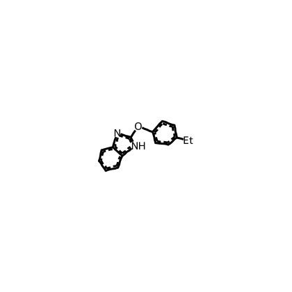 CCc1ccc(Oc2nc3ccccc3[nH]2)cc1